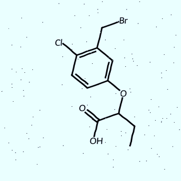 CCC(Oc1ccc(Cl)c(CBr)c1)C(=O)O